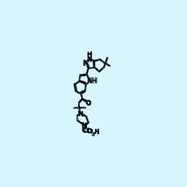 CC1(C)CCc2c(-c3cc4ccc(C(=O)CC(C)(C)N5CCN(C(=O)O)CC5)cc4[nH]3)n[nH]c2C1